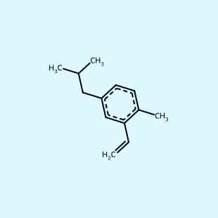 C=Cc1cc(CC(C)C)ccc1C